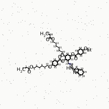 C=CC(=O)OCCCCCCOc1ccc(C(=O)Oc2c(/C=N/Nc3nc4ccccc4s3)cc(OC(=O)c3ccc(OCC)cc3)cc2OCCCCCCOC(=O)C=C)cc1